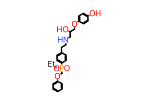 CCOP(=O)(COc1ccccc1)c1ccc(CCNCC(O)COc2ccc(O)cc2)cc1